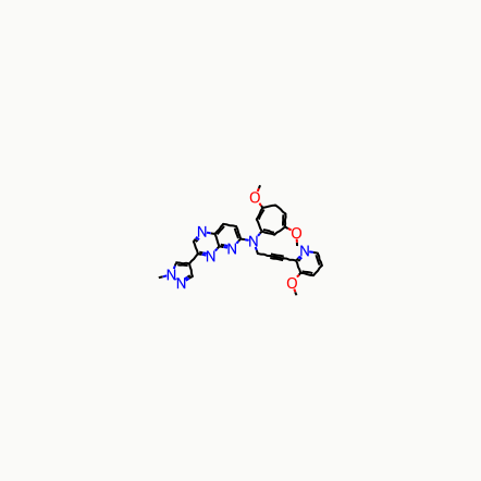 COC1=CCC(OC)=CC(N(CC#Cc2ncccc2OC)c2ccc3ncc(-c4cnn(C)c4)nc3n2)=C1